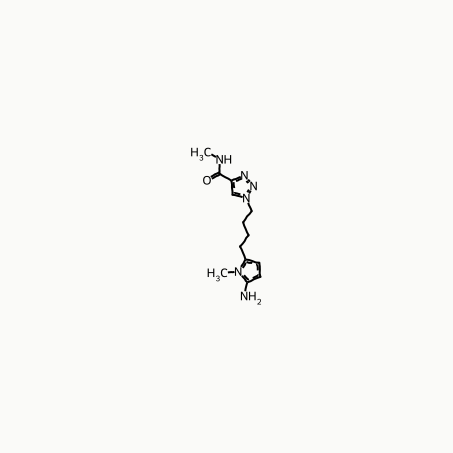 CNC(=O)c1cn(CCCCc2ccc(N)n2C)nn1